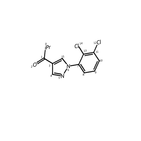 CC(C)C(=O)c1cnn(-c2cccc(Cl)c2Cl)c1